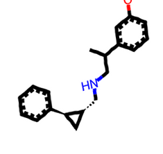 COc1cccc(C(C)CNC[C@@H]2C[C@H]2c2ccccc2)c1